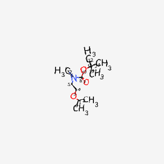 CC(C)OCCN(C)C(=O)OC(C)(C)C